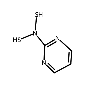 SN(S)c1ncccn1